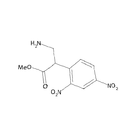 COC(=O)C(CN)c1ccc([N+](=O)[O-])cc1[N+](=O)[O-]